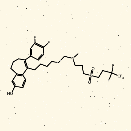 CN(CCCCCCC1=C(c2ccc(F)c(F)c2)CCCc2cc(O)ccc21)CCCS(=O)(=O)CCC(F)(F)C(F)(F)F